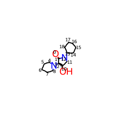 O=C1C(N2CCCCC2)=C(O)CN1C1CCCCC1